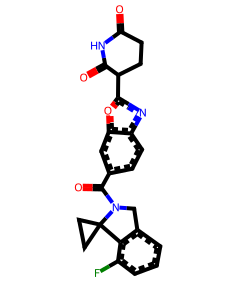 O=C1CCC(c2nc3ccc(C(=O)N4Cc5cccc(F)c5C45CC5)cc3o2)C(=O)N1